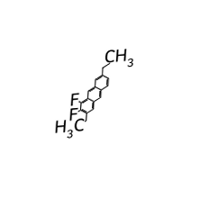 CCCc1ccc2cc3cc(CC)c(F)c(F)c3cc2c1